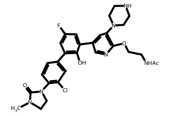 CC(=O)NCCOc1ncc(-c2cc(F)cc(-c3ccc(N4CCN(C)C4=O)c(Cl)c3)c2O)cc1N1CCNCC1